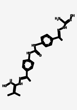 CC(C)=C(NO)N/N=C(\C)c1ccc(NC(=O)Nc2ccc(/C(C)=N/N/C(N)=N/O)cc2)cc1